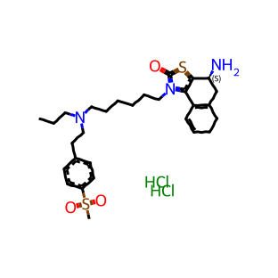 CCCN(CCCCCCn1c2c(sc1=O)[C@@H](N)CC1=C2C=CCC1)CCc1ccc(S(C)(=O)=O)cc1.Cl.Cl